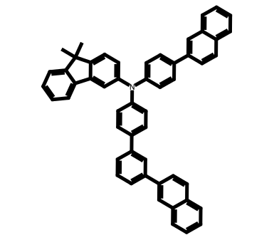 CC1(C)c2ccccc2-c2cc(N(c3ccc(-c4cccc(-c5ccc6ccccc6c5)c4)cc3)c3ccc(-c4ccc5ccccc5c4)cc3)ccc21